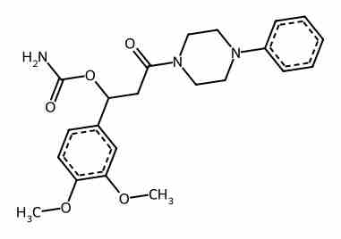 COc1ccc(C(CC(=O)N2CCN(c3ccccc3)CC2)OC(N)=O)cc1OC